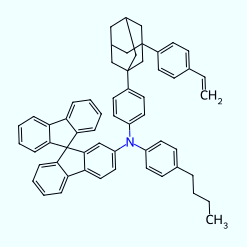 C=Cc1ccc(C23CC4CC(C2)CC(c2ccc(N(c5ccc(CCCC)cc5)c5ccc6c(c5)C5(c7ccccc7-c7ccccc75)c5ccccc5-6)cc2)(C4)C3)cc1